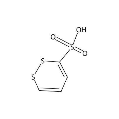 O=S(=O)(O)C1=CC=CSS1